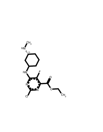 CCOC(=O)c1nc(Cl)nc(NC2CCC[C@@H](NC)C2)c1F